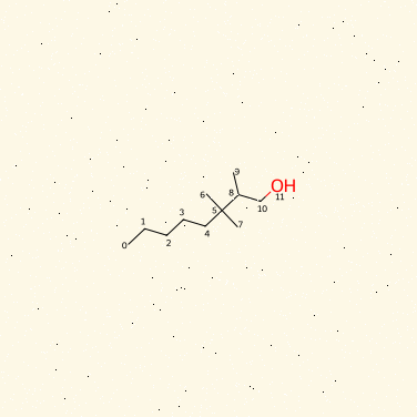 CCCCCC(C)(C)C(C)CO